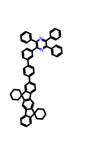 c1ccc(-c2nc(-c3ccccc3)c(-c3cccc(-c4ccc(-c5ccc6c(c5)C5(CCCCC5)c5cc7c(cc5-6)C5(CCCCC5)c5ccccc5-7)cc4)c3)nc2-c2ccccc2)cc1